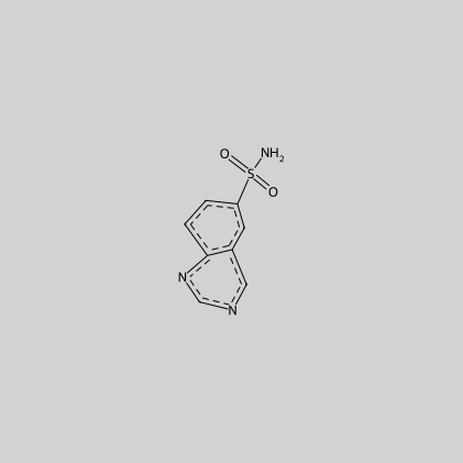 NS(=O)(=O)c1ccc2ncncc2c1